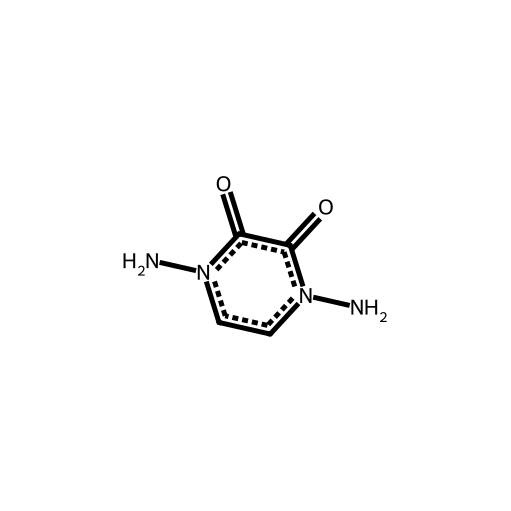 Nn1ccn(N)c(=O)c1=O